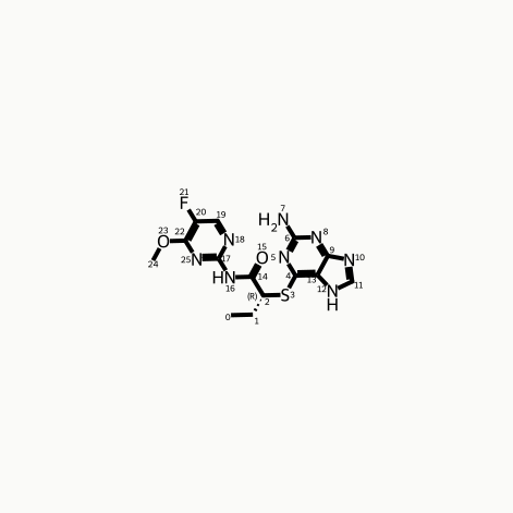 CC[C@@H](Sc1nc(N)nc2nc[nH]c12)C(=O)Nc1ncc(F)c(OC)n1